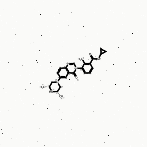 Cc1c(C(=O)NC2CC2)cccc1-n1cnc2ccc(N3C[C@@H](C)N[C@@H](C)C3)cc2c1=O